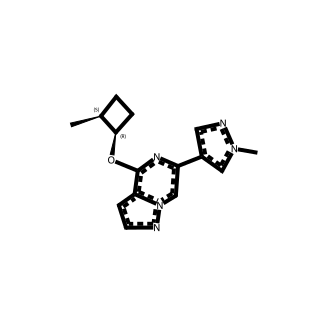 C[C@H]1CC[C@H]1Oc1nc(-c2cnn(C)c2)cn2nccc12